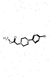 COC(=O)CN1CCN(c2ccc(Br)cc2)CC1